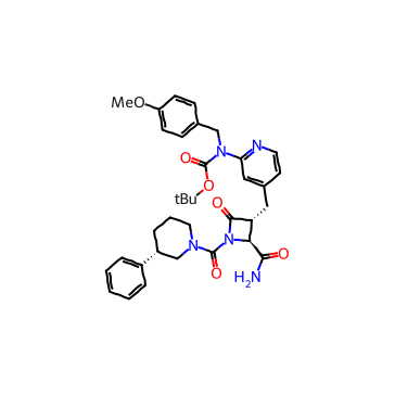 COc1ccc(CN(C(=O)OC(C)(C)C)c2cc(C[C@H]3C(=O)N(C(=O)N4CCC[C@@H](c5ccccc5)C4)[C@@H]3C(N)=O)ccn2)cc1